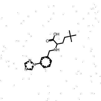 CC(C)(C)CCC(NCc1cccc(-n2cncn2)c1)C(=O)O